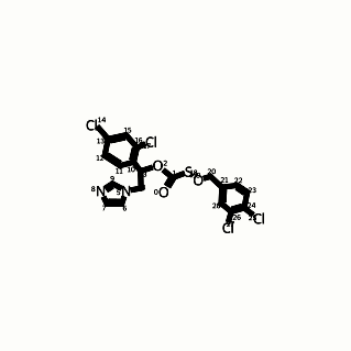 O=C(OC(Cn1ccnc1)c1ccc(Cl)cc1Cl)SOCc1ccc(Cl)c(Cl)c1